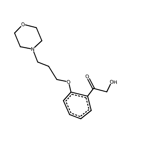 O=C(CO)c1ccccc1OCCCN1CCOCC1